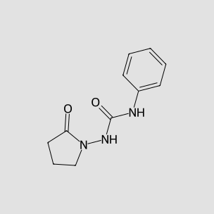 O=C(Nc1ccccc1)NN1CCCC1=O